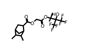 CC1C2CC(C(=O)OCC(=O)OC(C)(C)C(O)(C(F)(F)F)C(F)(F)F)C(C2)C1C